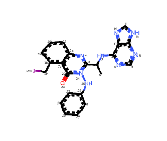 CC(Nc1ncnc2[nH]cnc12)c1nc2cccc(CI)c2c(=O)n1Nc1ccccc1